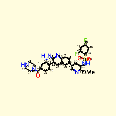 COc1ncc(-c2ccc3nc(N)c(-c4ccc(C(=O)N5CCNCC5)cc4)cc3c2)cc1NS(=O)(=O)c1ccc(F)cc1F